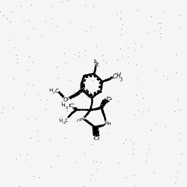 COc1cc(Br)c(C)cc1C1(C(C)C)NC(=O)NC1=O